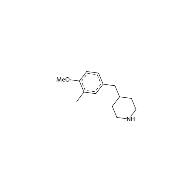 COc1ccc(CC2CCNCC2)cc1C